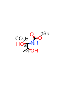 C[C@H](O)[C@@](O)(NC(=O)OC(C)(C)C)C(=O)O